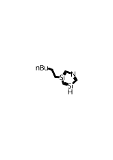 CCCCCC[si]1cnc[siH]c1